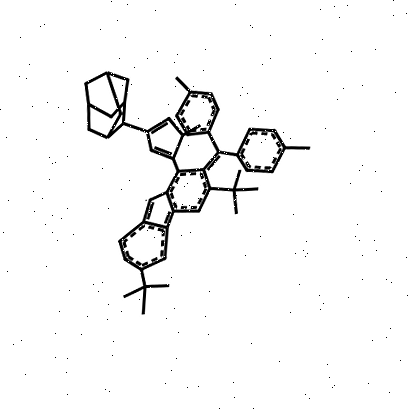 Cc1ccc(C(c2ccc(C)cc2)=c2c(C(C)(C)C)cc3c(c2C2=CC(C4C5CC6CC(C5)CC4C6)=CC2C)[C]=c2ccc(C(C)(C)C)cc2=3)cc1